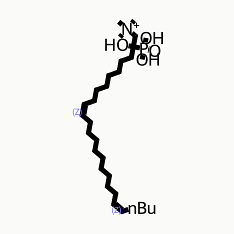 CCCC/C=C\CCCCCCCCC/C=C\CCCCCCCC(O)(C[N+](C)(C)C)P(=O)(O)O